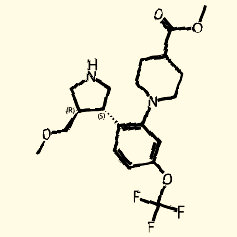 COC[C@H]1CNC[C@@H]1c1ccc(OC(F)(F)F)cc1N1CCC(C(=O)OC)CC1